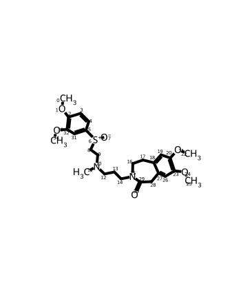 COc1ccc([S+]([O-])CCN(C)CCCN2CCc3cc(OC)c(OC)cc3CC2=O)cc1OC